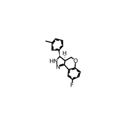 Cc1cccc([C@@H]2NN=C3c4cc(F)ccc4OC[C@@H]32)c1